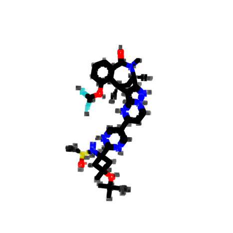 CN1C(=O)c2cccc(OC(F)F)c2[C@H]2C[C@@H]1c1nn3ccc(-c4cnc(C5(N[S@@+]([O-])C(C)(C)C)CC(C)(O[Si](C)(C)C(C)(C)C)C5)nc4)nc3c12